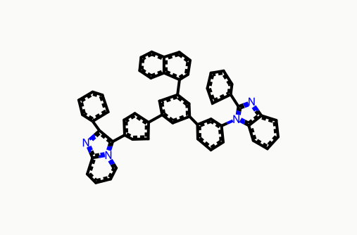 c1ccc(-c2nc3ccccn3c2-c2ccc(-c3cc(-c4cccc(-n5c(-c6ccccc6)nc6ccccc65)c4)cc(-c4cccc5ccccc45)c3)cc2)cc1